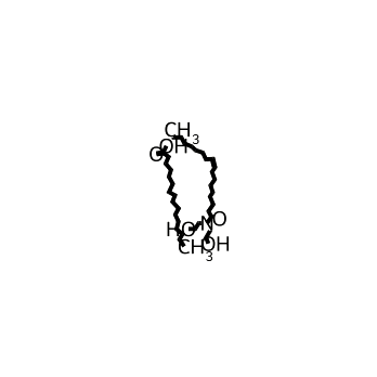 CCCCCCCC/C=C\CCCCCCCC(=O)N(CCO)CCO.CCCCCCCCCCCCCCCC(=O)O